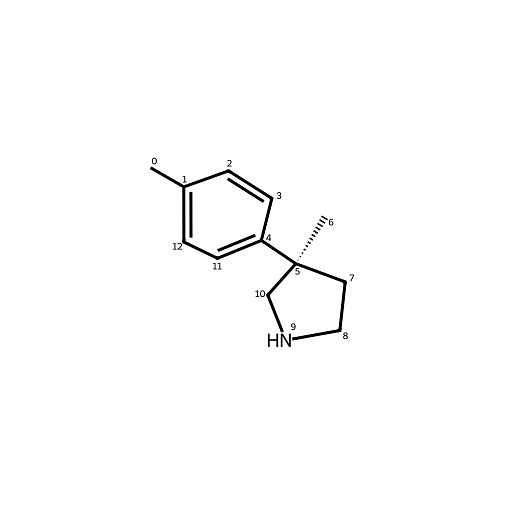 Cc1ccc([C@@]2(C)CCNC2)cc1